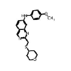 COc1ccc(Nc2ccc3cnc(CSC4CCOCC4)nc3c2)cc1